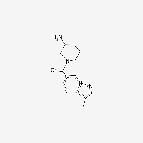 Cc1cnn2cc(C(=O)N3CCCC(N)C3)ccc12